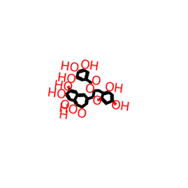 O=C(OC1Cc2c(O)cc(O)cc2OC1c1cc(=O)c(O)c2c(O)c(O)c(O)cc2c1)c1cc(O)c(O)c(O)c1